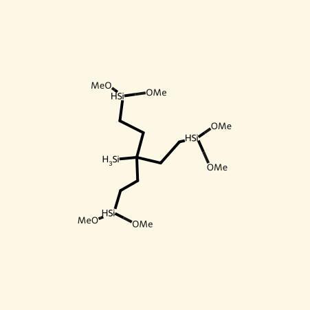 CO[SiH](CCC([SiH3])(CC[SiH](OC)OC)CC[SiH](OC)OC)OC